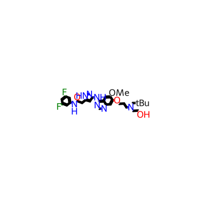 COc1cc2c(Nc3cc(CC(=O)Nc4cc(F)cc(F)c4)[nH]n3)ncnc2cc1OCCCN(CCO)CC(C)(C)C